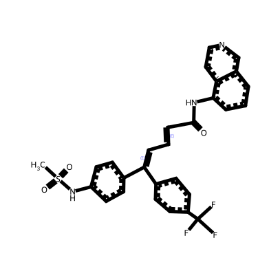 CS(=O)(=O)Nc1ccc(/C(=C/C=C/C(=O)Nc2cccc3cnccc23)c2ccc(C(F)(F)F)cc2)cc1